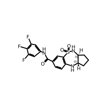 O=C(Nc1cc(F)c(F)c(F)c1)c1ccc2c(c1)S(=O)(=O)N[C@H]1CCC[C@@H]1N2